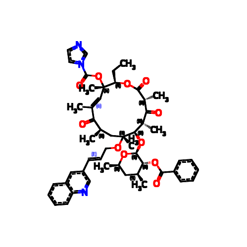 CC[C@H]1OC(=O)[C@H](C)C(=O)[C@H](C)[C@@H](O[C@@H]2O[C@H](C)C[C@H](C)[C@H]2OC(=O)c2ccccc2)[C@](C)(OC/C=C/c2cnc3ccccc3c2)C[C@@H](C)C(=O)/C(C)=C/[C@]1(C)OC(=O)n1ccnc1